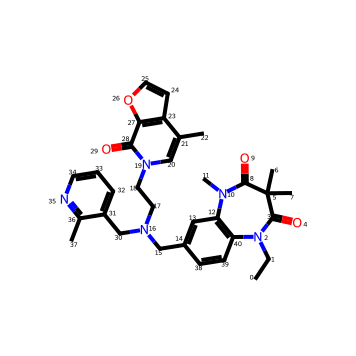 CCN1C(=O)C(C)(C)C(=O)N(C)c2cc(CN(CCn3cc(C)c4ccoc4c3=O)Cc3cccnc3C)ccc21